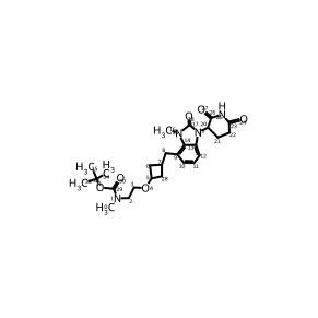 CN(CCOC1CC(Cc2cccc3c2n(C)c(=O)n3C2CCC(=O)NC2=O)C1)C(=O)OC(C)(C)C